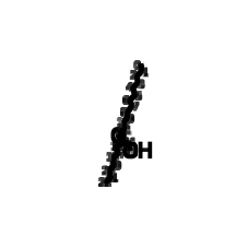 CCCCCCCCCCCCOC(CO)CCCCCCC